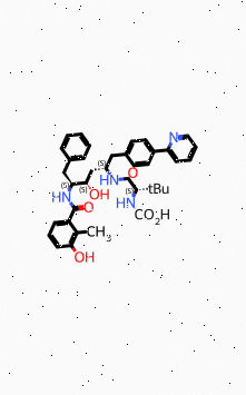 Cc1c(O)cccc1C(=O)N[C@@H](Cc1ccccc1)[C@@H](O)C[C@H](Cc1ccc(-c2ccccn2)cc1)NC(=O)[C@@H](NC(=O)O)C(C)(C)C